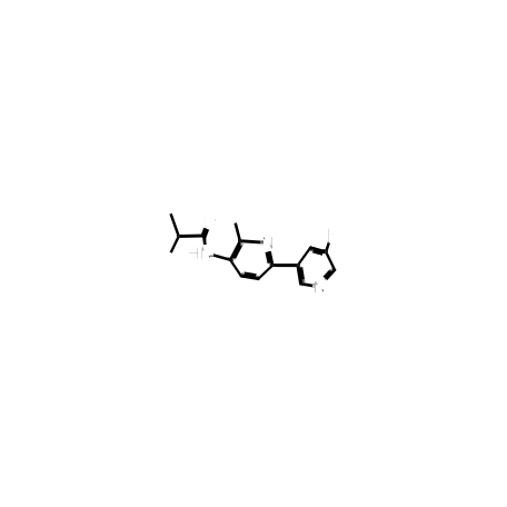 Cc1nc(-c2cncc(F)c2)ccc1NC(=O)C(C)C